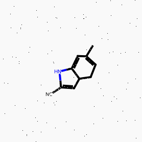 CC1=CCC2C=C(C#N)NC2=C1